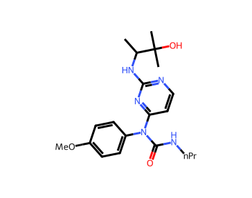 CCCNC(=O)N(c1ccc(OC)cc1)c1ccnc(NC(C)C(C)(C)O)n1